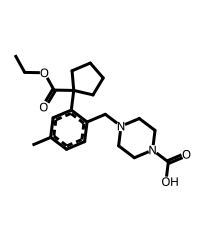 CCOC(=O)C1(c2cc(C)ccc2CN2CCN(C(=O)O)CC2)CCCC1